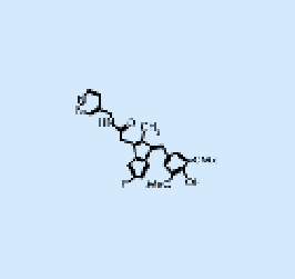 COc1cc(/C=C2/C(C)=C(CC(=O)NCc3ccnnc3)c3cc(F)ccc32)cc(OC)c1O